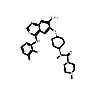 COc1cc2ncnc(Nc3cccc(Cl)c3F)c2cc1O[C@H]1CC[C@H](N(C)C(=O)N2CCN(C)CC2)CC1